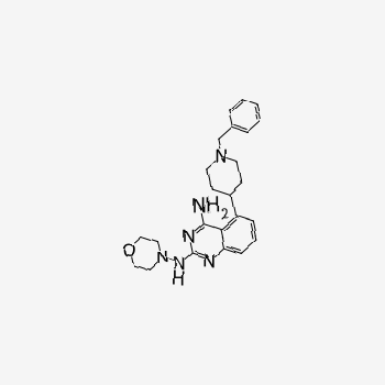 Nc1nc(NN2CCOCC2)nc2cccc(C3CCN(Cc4ccccc4)CC3)c12